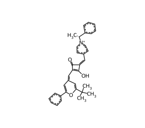 C[C@H](c1ccccc1)[n+]1ccc(C=C2C(=O)C(/C=C3/C=C(c4ccccc4)OC(C(C)(C)C)=C3)=C2O)cc1